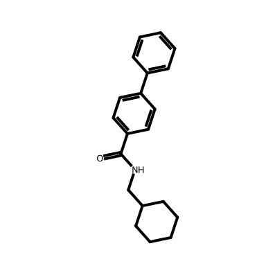 O=C(NCC1CCCCC1)c1ccc(-c2ccccc2)cc1